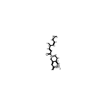 C=C(N)/C=C1/CN(C(=O)/C=C/C(C)/C=C\C=N/C)CC/C1=C/CC